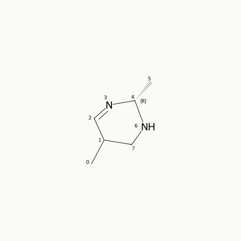 CC1C=N[C@H](C)NC1